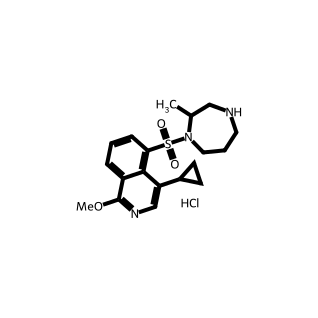 COc1ncc(C2CC2)c2c(S(=O)(=O)N3CCCNCC3C)cccc12.Cl